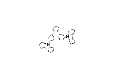 c1cc(-c2ccccc2-c2ccc(-n3c4ccccc4c4ccccc43)cc2)cc(-n2c3ccccc3c3ccccc32)c1